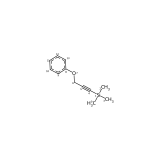 C[Si](C)(C)C#CCOc1[c]cccc1